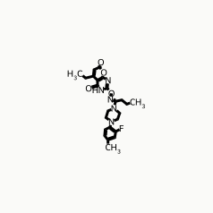 CCC/C(=N\Oc1nc2oc(=O)cc(CC)c2c(=O)[nH]1)N1CCN(c2ccc(C)cc2F)CC1